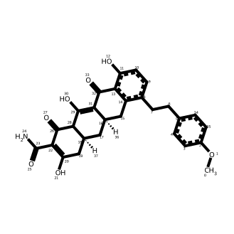 COc1ccc(CCc2ccc(O)c3c2C[C@H]2C[C@H]4CC(O)=C(C(N)=O)C(=O)C4C(O)=C2C3=O)cc1